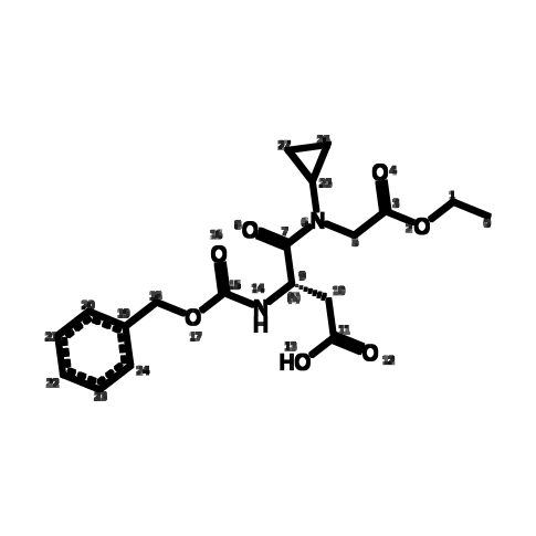 CCOC(=O)CN(C(=O)[C@H](CC(=O)O)NC(=O)OCc1ccccc1)C1CC1